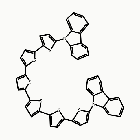 c1ccc2c(c1)c1ccccc1n2-c1ccc(-c2ccc(-c3ccc(-c4ccc(-c5ccc(-c6ccc(-n7c8ccccc8c8ccccc87)s6)s5)s4)s3)s2)s1